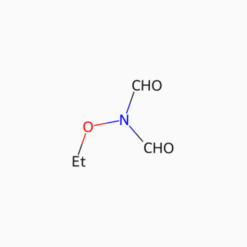 CCON(C=O)C=O